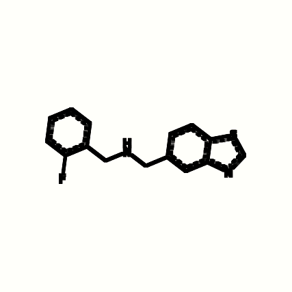 Fc1ccccc1CNCc1ccc2scnc2c1